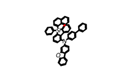 c1ccc(-c2ccc(N(c3ccc4c(c3)oc3ccccc34)c3cccc4c3-c3ccccc3[Si]4(c3ccccc3)c3cccc4ccccc34)cc2)cc1